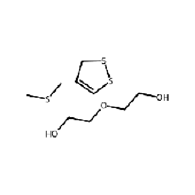 C1=CSSC1.CSC.OCCOCCO